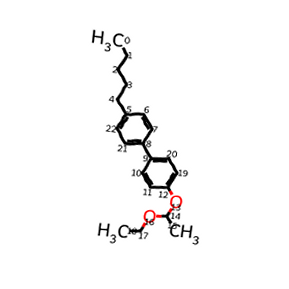 CCCCCc1ccc(-c2ccc(OC(C)OCC)cc2)cc1